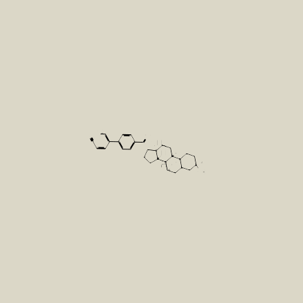 C#C/C=C\C(=C/C)c1ccc(C(=O)[C@H]2CC[C@H]3[C@@H]4CC[C@@H]5C[C@](C)(O)CC[C@]5(C)[C@H]4CC[C@]23C)cc1